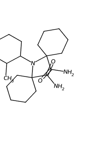 CC1CCCCC1N(C1(C(N)=O)CCCCC1)C1(C(N)=O)CCCCC1